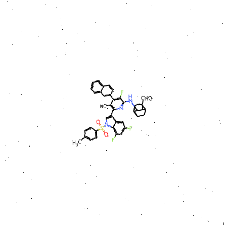 Cc1ccc(S(=O)(=O)n2cc(-c3nc(NC4C5CCC(CC5)C4[C]=O)c(F)c(-c4ccc5ccccc5c4)c3C#N)c3cc(F)cc(F)c32)cc1